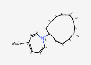 CCCCCCCCCC1=CC=CN(C2CCCCCCCCCCC2)C=C1